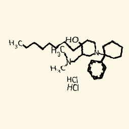 CCCCCCCCC1(O)CCN(C2(c3ccccc3)CCCCC2)CC1CN(C)C.Cl.Cl